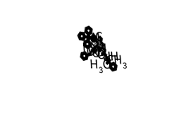 C/C=C/CN(CC(=O)NCC(C)(C)c1ccccc1)C(=O)C(Cc1cn(C(c2ccccc2)(c2ccccc2)c2ccccc2)cn1)NC(=O)OCc1ccccc1